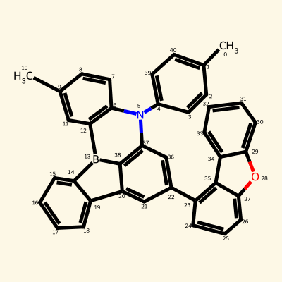 Cc1ccc(N2c3ccc(C)cc3B3c4ccccc4-c4cc(-c5cccc6oc7ccccc7c56)cc2c43)cc1